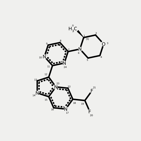 C[C@H]1COCCN1c1ccnc(-c2cnc3cnc(C(F)F)cn23)n1